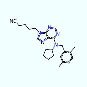 Cc1ccc(C)c(CN(c2ncnc3c2ncn3CCCCC#N)C2CCCC2)c1